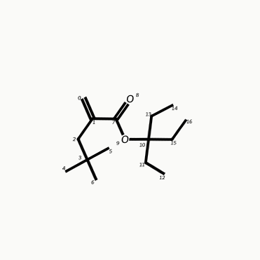 C=C(CC(C)(C)C)C(=O)OC(CC)(CC)CC